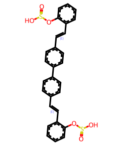 O=S(O)Oc1ccccc1/C=C/c1ccc(-c2ccc(/C=C/c3ccccc3OS(=O)O)cc2)cc1